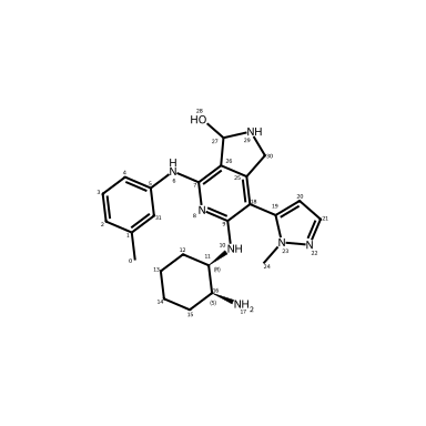 Cc1cccc(Nc2nc(N[C@@H]3CCCC[C@@H]3N)c(-c3ccnn3C)c3c2C(O)NC3)c1